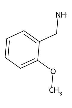 COc1ccccc1C[NH]